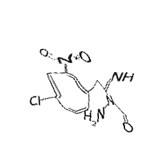 N=C(Cc1ccc(Cl)cc1[N+](=O)[O-])N(N)C=O